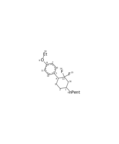 CCCCCC1CCC(c2ccc(OCC)cc2)C(F)(F)C1